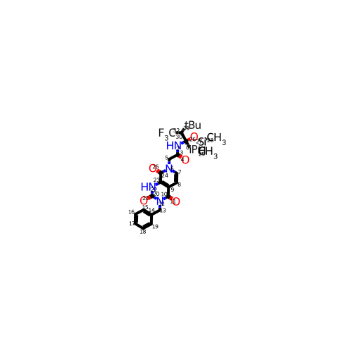 CC(C)C(NC(=O)Cn1ccc2c(=O)n(Cc3ccccc3)c(=O)[nH]c2c1=O)(O[SiH](C)C)C(C(C)(C)C)C(F)(F)F